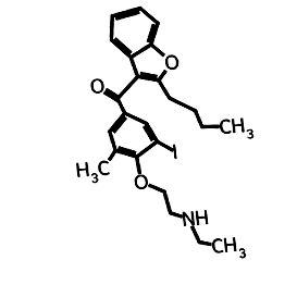 CCCCc1oc2ccccc2c1C(=O)c1cc(C)c(OCCNCC)c(I)c1